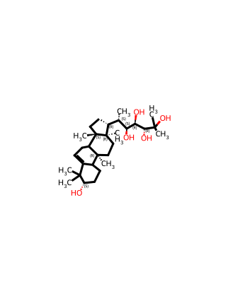 C[C@H]([C@H](O)[C@@H](O)[C@@H](O)C(C)(C)O)[C@H]1CC[C@@]2(C)C3CC=C4C(CC[C@H](O)C4(C)C)[C@]3(C)CC[C@]12C